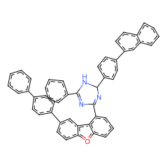 c1ccc(C2=NC(c3cccc4oc5ccc(-c6ccc(-c7ccccc7)cc6)cc5c34)=NC(c3ccc(-c4ccc5ccccc5c4)cc3)N2)cc1